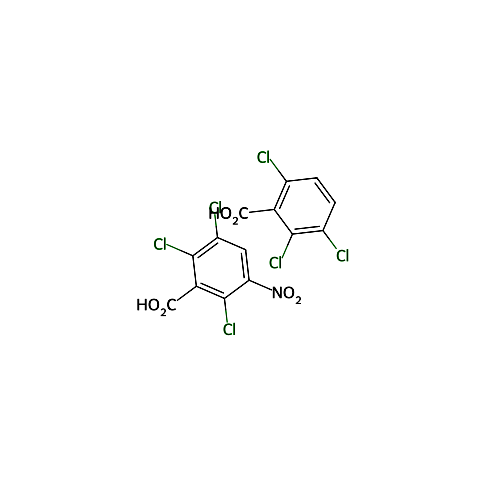 O=C(O)c1c(Cl)c(Cl)cc([N+](=O)[O-])c1Cl.O=C(O)c1c(Cl)ccc(Cl)c1Cl